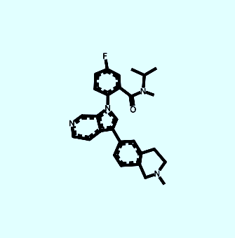 CC(C)N(C)C(=O)c1cc(F)ccc1-n1cc(-c2ccc3c(c2)CCN(C)C3)c2ccncc21